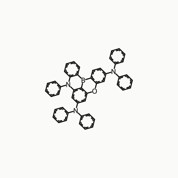 c1ccc(N(c2ccccc2)c2ccc3c(c2)Oc2cc(N(c4ccccc4)c4ccccc4)cc4c2B3c2ccccc2N4c2ccccc2)cc1